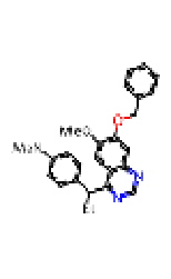 CCC(c1ccc(NC)cc1)c1ncnc2cc(OCc3ccccc3)c(OC)cc12